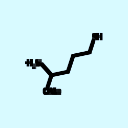 COC([SiH2])CCCS